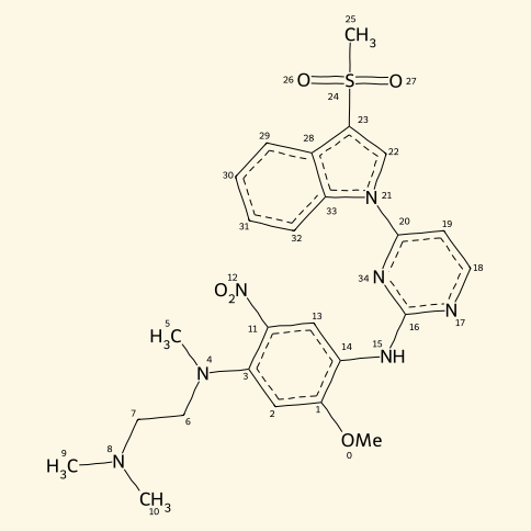 COc1cc(N(C)CCN(C)C)c([N+](=O)[O-])cc1Nc1nccc(-n2cc(S(C)(=O)=O)c3ccccc32)n1